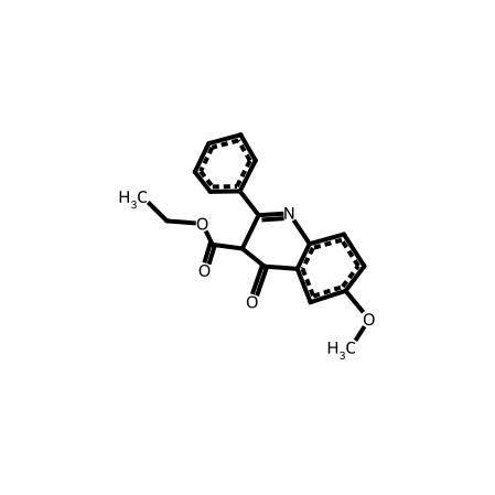 CCOC(=O)C1C(=O)c2cc(OC)ccc2N=C1c1ccccc1